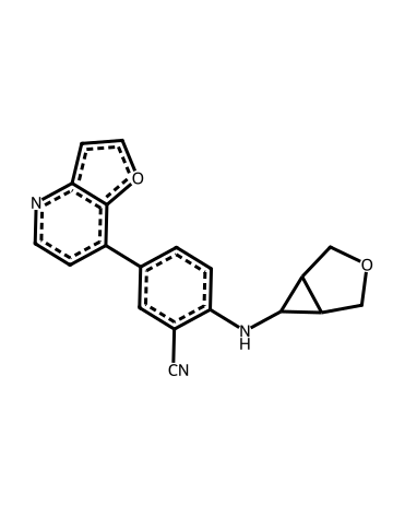 N#Cc1cc(-c2ccnc3ccoc23)ccc1NC1C2COCC21